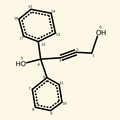 OCC#CC(O)(c1ccccc1)c1ccccc1